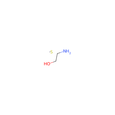 NCCO.[S]